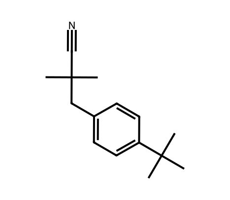 CC(C)(C#N)Cc1ccc(C(C)(C)C)cc1